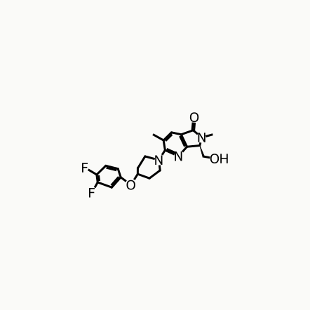 Cc1cc2c(nc1N1CCC(Oc3ccc(F)c(F)c3)CC1)[C@H](CO)N(C)C2=O